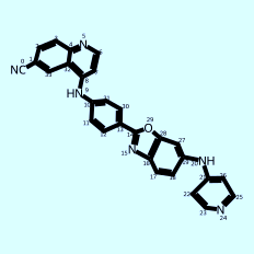 N#Cc1ccc2nccc(Nc3ccc(-c4nc5ccc(Nc6ccncc6)cc5o4)cc3)c2c1